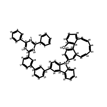 c1ccc(-c2nc(-c3ccccc3)nc(-c3cccc(-c4cccc(-c5ccc6c(c5)c5ccccc5n6-c5cc6ccccccc7cccc8oc(c5)c6c78)c4)c3)n2)cc1